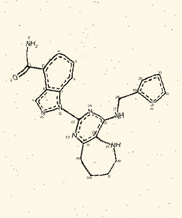 NC(=O)c1cccc2c1cnn2-c1nc2c(c(NCc3cccs3)n1)NCCCC2